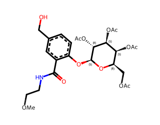 COCCNC(=O)c1cc(CO)ccc1O[C@@H]1O[C@H](COC(C)=O)[C@H](OC(C)=O)[C@H](OC(C)=O)[C@H]1OC(C)=O